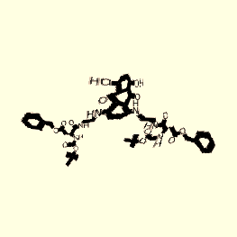 CC(C)(C)OC(=O)N[C@@H](CC(=O)OCc1ccccc1)C(=O)NCCNc1ccc(NCCNC(=O)[C@H](CC(=O)OCc2ccccc2)NC(=O)OC(C)(C)C)c2c1C(=O)c1c(O)ccc(O)c1C2=O